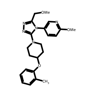 COCc1nnc(N2CCC(Oc3ccccc3C)CC2)n1-c1ccc(OC)nc1